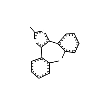 Cc1nc2c(o1)-c1ccccc1Oc1ccccc1-2